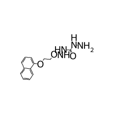 NNC(=O)NNOCCOc1cccc2ccccc12